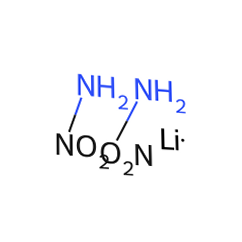 N[N+](=O)[O-].N[N+](=O)[O-].[Li]